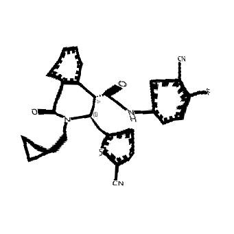 N#Cc1ccc([C@@H]2[C@@H](C(=O)Nc3ccc(F)c(C#N)c3)c3ccccc3C(=O)N2CC2CC2)s1